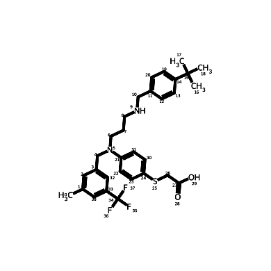 Cc1cc(CN(CCCNCc2ccc(C(C)(C)C)cc2)c2ccc(SCC(=O)O)cc2)cc(C(F)(F)F)c1